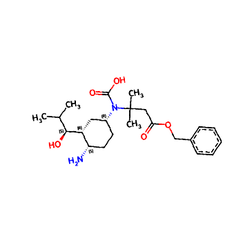 CC(C)[C@H](O)[C@@H]1C[C@H](N(C(=O)O)C(C)(C)CC(=O)OCc2ccccc2)CC[C@@H]1N